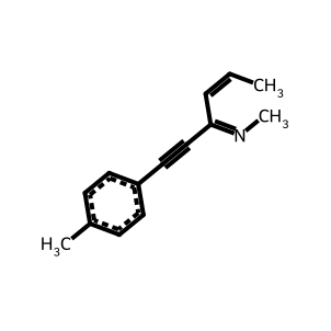 C/C=C\C(C#Cc1ccc(C)cc1)=N/C